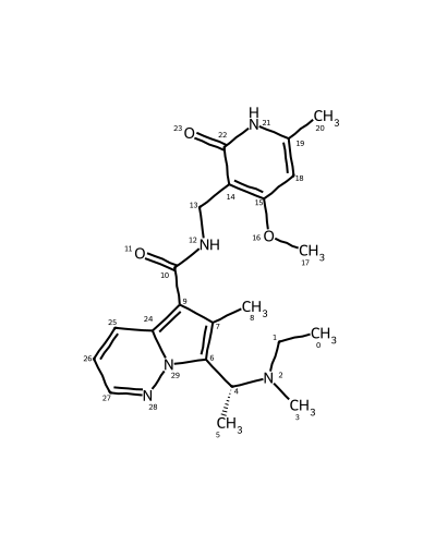 CCN(C)[C@H](C)c1c(C)c(C(=O)NCc2c(OC)cc(C)[nH]c2=O)c2cccnn12